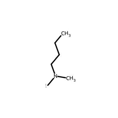 [C]N(C)CCCC